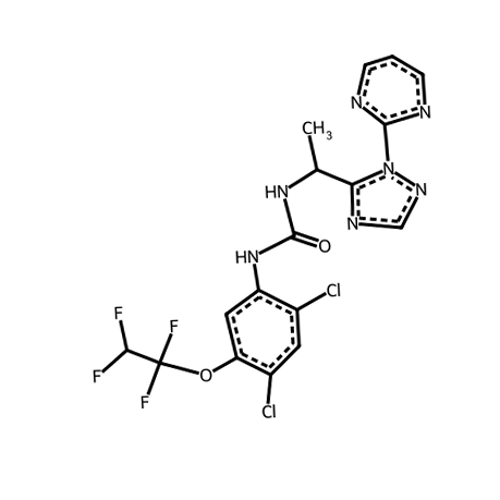 CC(NC(=O)Nc1cc(OC(F)(F)C(F)F)c(Cl)cc1Cl)c1ncnn1-c1ncccn1